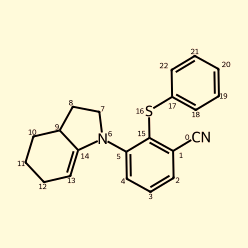 N#Cc1cccc(N2CCC3CCCC=C32)c1Sc1ccccc1